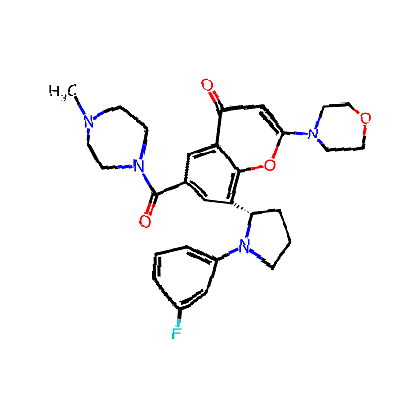 CN1CCN(C(=O)c2cc([C@@H]3CCCN3c3cccc(F)c3)c3oc(N4CCOCC4)cc(=O)c3c2)CC1